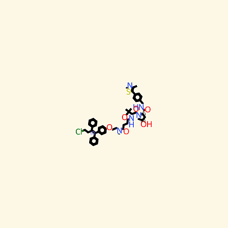 Cc1ncsc1-c1ccc(CNC(=O)[C@@H]2C[C@@H](O)CN2C(=O)C(NC(=O)CCC(=O)N(C)CCOc2ccc(/C(=C(/CCCl)c3ccccc3)c3ccccc3)cc2)C(C)(C)C)cc1